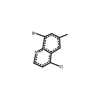 Cc1cc(Br)c2nccc(Cl)c2c1